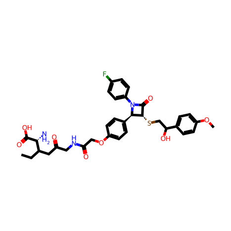 CCC(CC(=O)CNC(=O)COc1ccc([C@@H]2[C@@H](SCC(O)c3ccc(OC)cc3)C(=O)N2c2ccc(F)cc2)cc1)[C@@H](N)C(=O)O